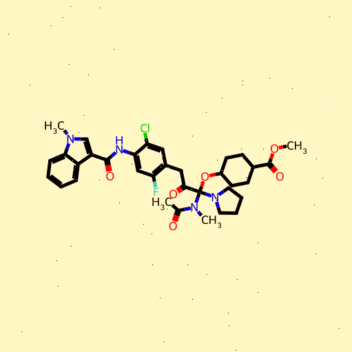 COC(=O)C1CCC(OC(C(=O)Cc2cc(Cl)c(NC(=O)c3cn(C)c4ccccc34)cc2F)(N2CCCC2)N(C)C(C)=O)CC1